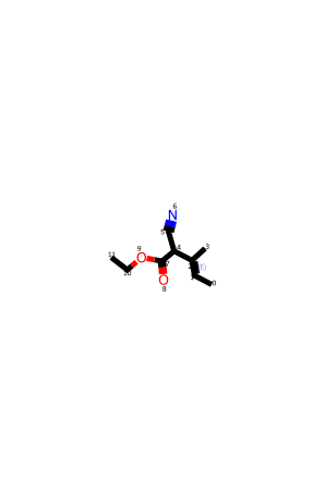 C/C=C(\C)C(C#N)C(=O)OCC